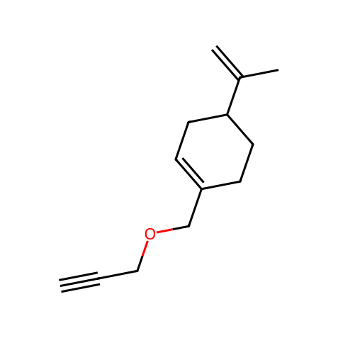 C#CCOCC1=CCC(C(=C)C)CC1